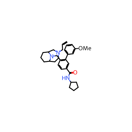 C=CCN1CCC2CCCC(C1)N2Cc1ccc(C(=O)NC2CCCC2)cc1-c1cccc(OC)c1